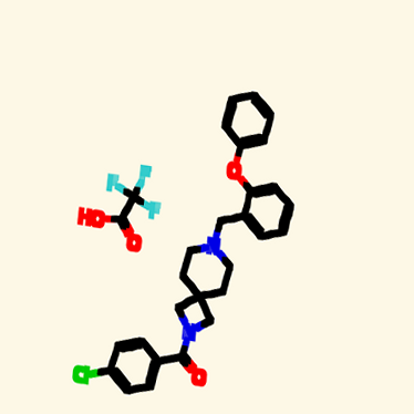 O=C(O)C(F)(F)F.O=C(c1ccc(Cl)cc1)N1CC2(CCN(Cc3ccccc3Oc3ccccc3)CC2)C1